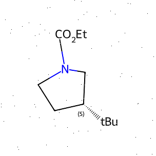 CCOC(=O)N1CC[C@@H](C(C)(C)C)C1